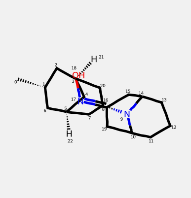 C[C@@H]1C[C@@H]2C[C@H](C1)C[C@@H](N1C3CCCC1CC(=NO)C3)C2